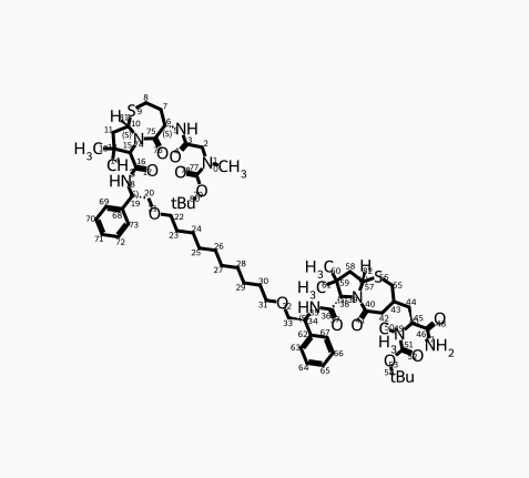 CN(CC(=O)N[C@H]1CCS[C@H]2CC(C)(C)C(C(=O)N[C@H](COCCCCCCCCCCOC[C@@H](NC(=O)[C@H]3N4C(=O)CC(C[C@@H](C(N)=O)N(C)C(=O)OC(C)(C)C)CS[C@H]4CC3(C)C)c3ccccc3)c3ccccc3)N2C1=O)C(=O)OC(C)(C)C